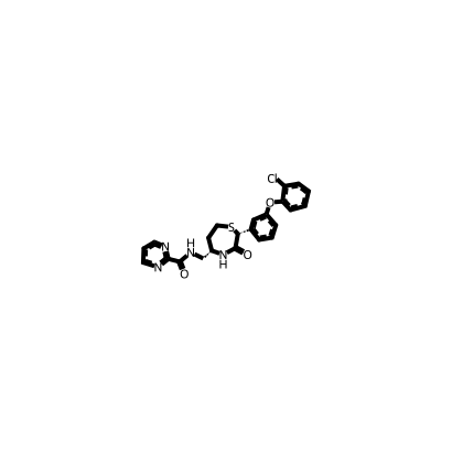 O=C(NC[C@@H]1CCS[C@H](c2cccc(Oc3ccccc3Cl)c2)C(=O)N1)c1ncccn1